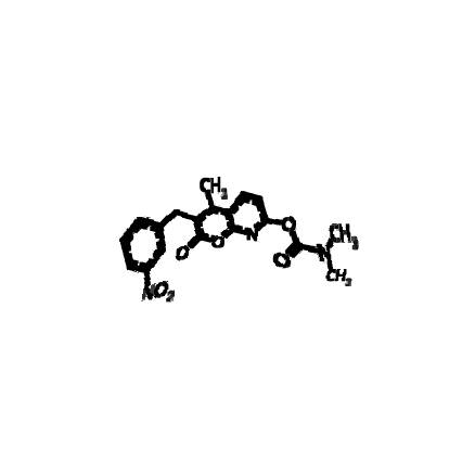 Cc1c(Cc2cccc([N+](=O)[O-])c2)c(=O)oc2nc(OC(=O)N(C)C)ccc12